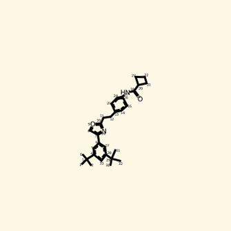 CC(C)(C)c1cc(-c2coc(CCc3ccc(NC(=O)C4CCC4)cc3)n2)cc(C(C)(C)C)c1